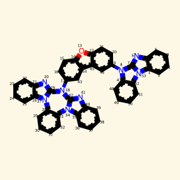 c1ccc2c(c1)nc1n(-c3ccc4oc5ccc(-n6c7nc8ccccc8n7c7ccccc7n7c8ccccc8nc67)cc5c4c3)c3ccccc3n21